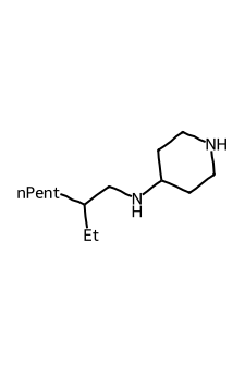 CCCCCC(CC)CNC1CCNCC1